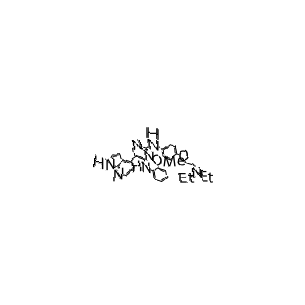 CCN(CC)CCOc1ccc(Nc2ncc(-c3ccnc4[nH]ccc34)c(Nc3ccccc3OC)n2)cc1